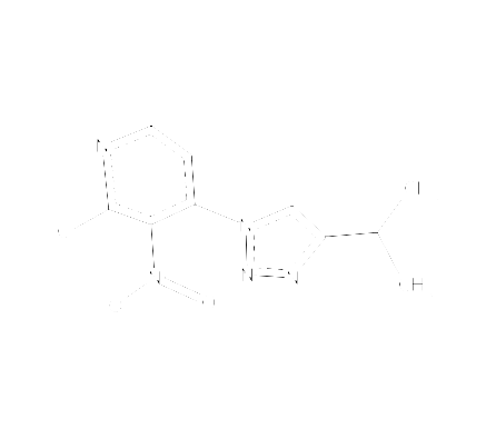 CC(C)c1cn(-c2ccnc(Cl)c2[N+](=O)[O-])nn1